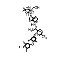 CC1(C)O[C@@H]2[C@H](O1)[C@@H](CO)O[C@H]2n1cnc2c(NCC(N)C(=O)[C@H](Cc3cc(I)c(Oc4cc(I)c(O)c(I)c4)c(I)c3)NC(=O)C(F)(F)F)ncnc21